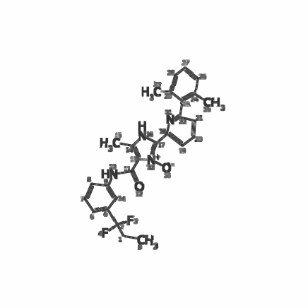 CCC(F)(F)c1cccc(NC(=O)c2c(C)[nH]c(-c3cccc(-c4c(C)cccc4C)n3)[n+]2[O-])c1